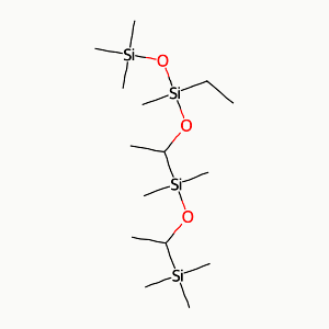 CC[Si](C)(OC(C)[Si](C)(C)OC(C)[Si](C)(C)C)O[Si](C)(C)C